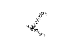 C=COCCCCCCCCN(C)C(=O)C1CN(CCC)C1